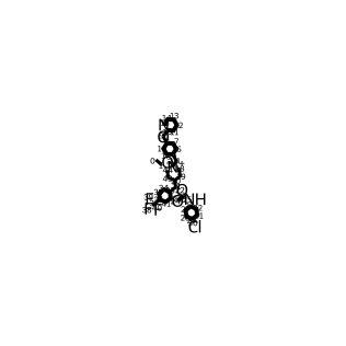 CCO[N+]1(Cc2ccc(Oc3ccccn3)cc2)CCC(C(OC(=O)Nc2ccc(Cl)cc2)c2ccc(C(F)(F)F)cc2)CC1